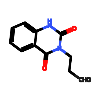 O=CCCn1c(=O)[nH]c2ccccc2c1=O